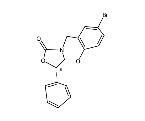 [O]c1ccc(Br)cc1CN1C[C@H](c2ccccc2)OC1=O